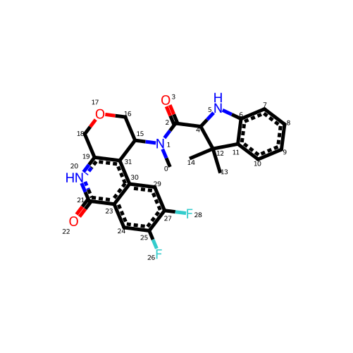 CN(C(=O)C1Nc2ccccc2C1(C)C)C1COCc2[nH]c(=O)c3cc(F)c(F)cc3c21